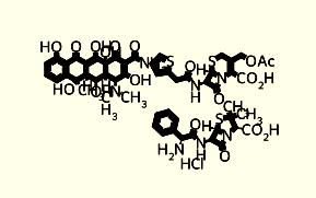 CC(=O)OCC1=C(C(=O)O)N2C(=O)[C@@H](NC(=O)Cc3cccs3)[C@H]2SC1.CC1(C)S[C@@H]2[C@H](NC(=O)[C@H](N)c3ccccc3)C(=O)N2[C@H]1C(=O)O.CN(C)[C@@H]1C(O)=C(C(N)=O)C(=O)[C@@]2(O)C(O)=C3C(=O)c4c(O)cccc4[C@@](C)(O)[C@H]3[C@H](O)[C@@H]12.Cl